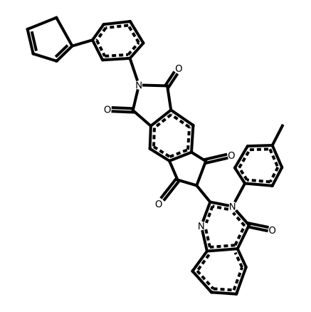 Cc1ccc(-n2c(C3C(=O)c4cc5c(cc4C3=O)C(=O)N(c3cccc(C4=CC=CC4)c3)C5=O)nc3ccccc3c2=O)cc1